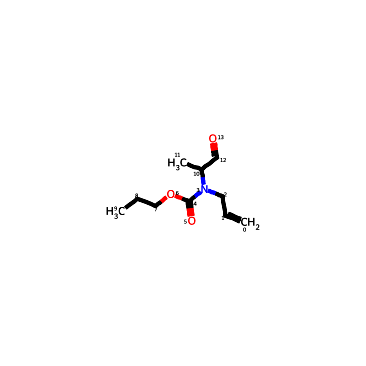 C=CCN(C(=O)OCCC)C(C)C=O